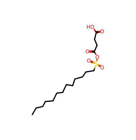 CCCCCCCCCCCCCS(=O)(=O)OC(=O)CCC(=O)O